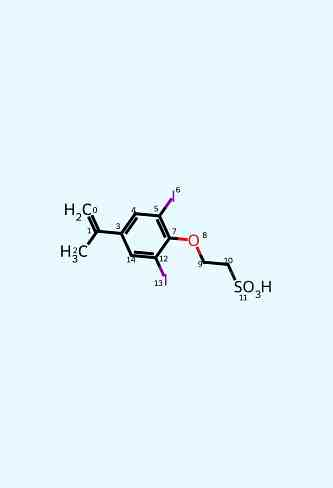 C=C(C)c1cc(I)c(OCCS(=O)(=O)O)c(I)c1